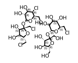 OC[C@H]1O[C@@](CO)(O[C@H]2O[C@H](CCl)[C@@H](O)[C@H](O)[C@H]2O)[C@@H](O)[C@@H]1O.OC[C@H]1O[C@H](O[C@]2(CCl)O[C@H](CCl)[C@@H](O)[C@@H]2O)[C@H](O)[C@@H](O)[C@H]1Cl